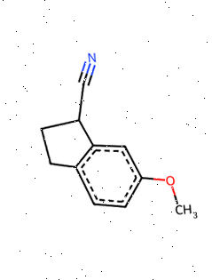 COc1ccc2c(c1)C(C#N)CC2